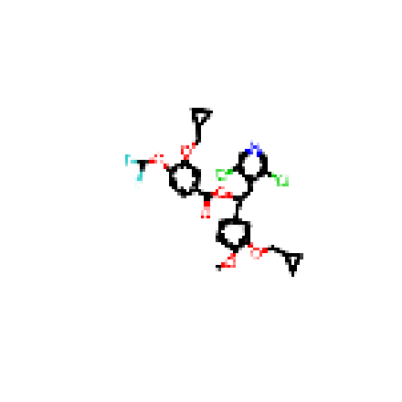 COc1ccc(C(Cc2c(Cl)cncc2Cl)OC(=O)c2ccc(OC(F)F)c(OCC3CC3)c2)cc1OCC1CC1